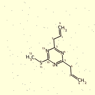 C=CCc1nc(CC=C)nc(SC)n1